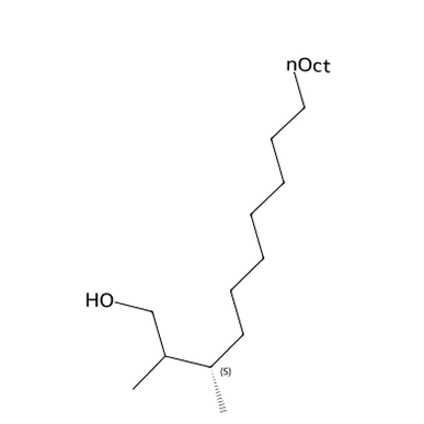 CCCCCCCCCCCCCCC[C@H](C)C(C)CO